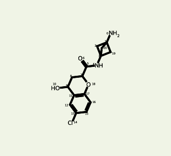 NC12CC(NC(=O)C3CC(O)c4cc(Cl)ccc4O3)(C1)C2